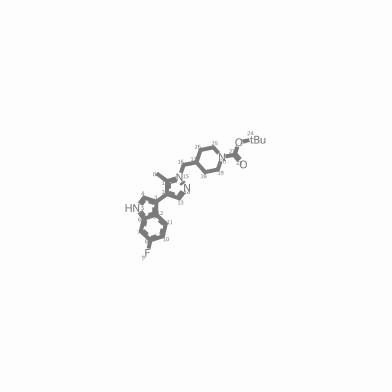 Cc1c(-c2c[nH]c3cc(F)ccc23)cnn1CC1CCN(C(=O)OC(C)(C)C)CC1